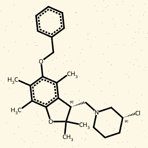 Cc1c(C)c2c(c(C)c1OCc1ccccc1)[C@H](CN1CCC[C@@H](Cl)C1)C(C)(C)O2